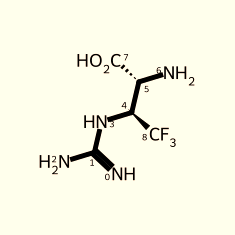 N=C(N)N[C@@H]([C@@H](N)C(=O)O)C(F)(F)F